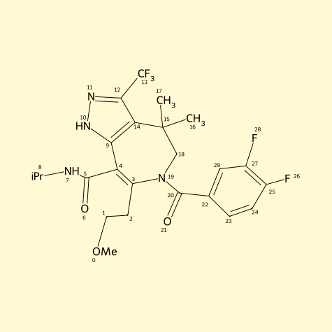 COCCC1=C(C(=O)NC(C)C)c2[nH]nc(C(F)(F)F)c2C(C)(C)CN1C(=O)c1ccc(F)c(F)c1